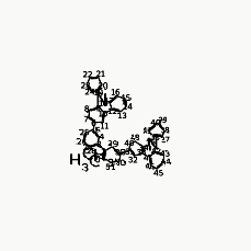 CC1=C(c2cc(-c3ccc4c(c3)c3ccccc3n4-c3ccccc3)ccc2C)C=C(C2=Cc3c(n(-c4ccccc4)c4ccccc34)CC2)CC1